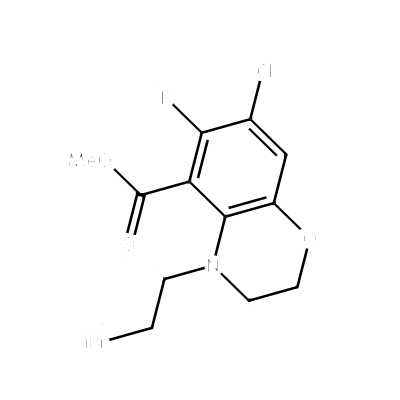 COC(=O)c1c(F)c(Cl)cc2c1N(CCC(C)C)CCO2